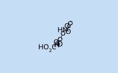 CN(CC(=O)O)S(=O)(=O)c1ccc(-c2ccc(NC(=O)c3cc4ccccc4o3)cc2)cc1